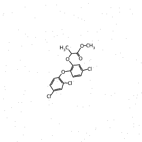 COC(=O)C(C)Oc1cc(Cl)ccc1Oc1ccc(Cl)cc1Cl